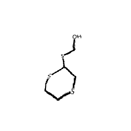 OCSC1CSCCS1